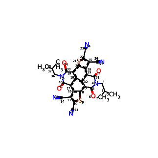 CC(C)CN1C(=O)c2c3sc(C#N)c(C#N)c3c3c4c(c5sc(C#N)c(C#N)c5c(c24)C1=O)C(=O)N(CC(C)C)C3=O